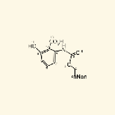 CCCCCCCCCCOC(=O)Nc1cccc(O)c1C(=O)O